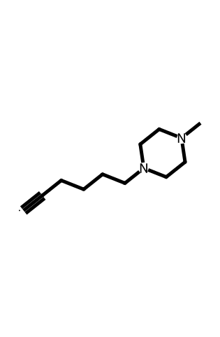 [C]#CCCCCN1CCN(C)CC1